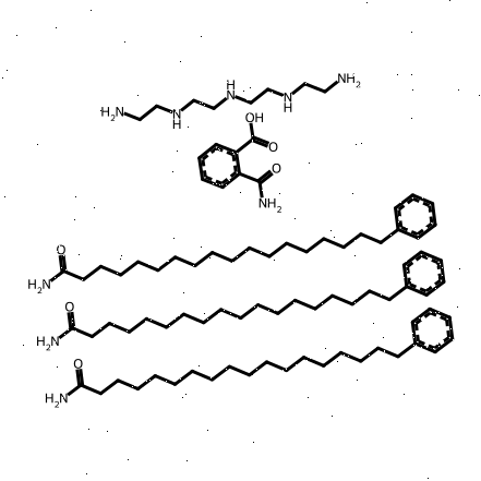 NC(=O)CCCCCCCCCCCCCCCCCc1ccccc1.NC(=O)CCCCCCCCCCCCCCCCCc1ccccc1.NC(=O)CCCCCCCCCCCCCCCCCc1ccccc1.NC(=O)c1ccccc1C(=O)O.NCCNCCNCCNCCN